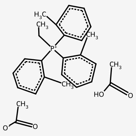 CC(=O)O.CC(=O)[O-].CC[P+](c1ccccc1C)(c1ccccc1C)c1ccccc1C